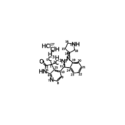 CC1(C)C(=O)Nc2nccc(-c3nn([C@H]4CCNC4)c4ccccc34)c21.Cl.Cl